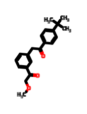 COCC(=O)c1cccc(CC(=O)c2ccc(C(C)(C)C)cc2)c1